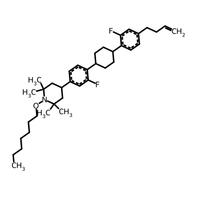 C=CCCc1ccc(C2CCC(c3ccc(C4CC(C)(C)N(OCCCCCCC)C(C)(C)C4)cc3F)CC2)c(F)c1